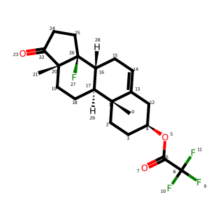 C[C@]12CC[C@H](OC(=O)C(F)(F)F)CC1=CC[C@@H]1[C@@H]2CC[C@]2(C)C(=O)CC[C@]12F